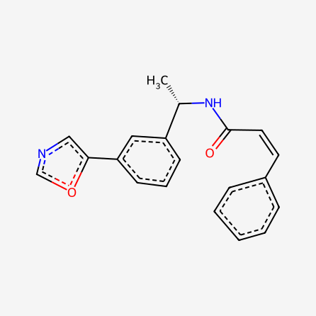 C[C@H](NC(=O)/C=C\c1ccccc1)c1cccc(-c2cnco2)c1